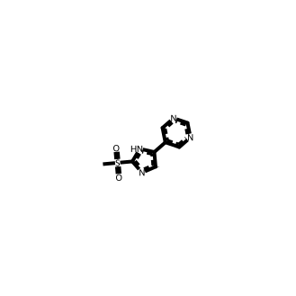 CS(=O)(=O)c1n[c]c(-c2cncnc2)[nH]1